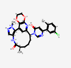 C[C@@H]1CCC[C@H](n2cnc(-c3cc(Cl)ccc3C#N)cc2=O)c2cc(c3c(n2)OCCO3)-c2c(cnn2C)NC1=O